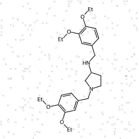 CCOc1ccc(CNC2CCN(Cc3ccc(OCC)c(OCC)c3)C2)cc1OCC